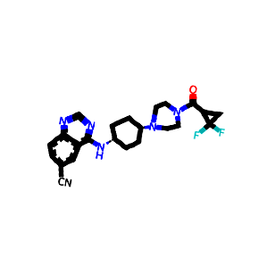 N#Cc1ccc2ncnc(N[C@H]3CC[C@H](N4CCN(C(=O)C5CC5(F)F)CC4)CC3)c2c1